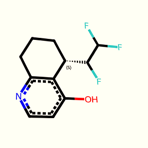 Oc1ccnc2c1[C@@H](C(F)C(F)F)CCC2